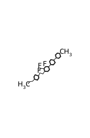 CCCc1ccc(CCc2ccc(-c3ccc(-c4ccc(C)cc4)cc3)c(F)c2C(F)F)cc1